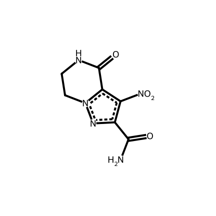 NC(=O)c1nn2c(c1[N+](=O)[O-])C(=O)NCC2